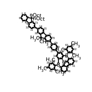 CCCCCCCCC1(CCCCCCCC)c2ccccc2-c2ccc(-c3ccc4c(c3)C(C)(C)c3cc(-c5ccc(-c6cc7c8c(c6)B(c6c(C)cc(C)cc6C)c6cccc9c%10cccc(c%10n-8c69)B7c6c(C)cc(C)cc6C)cc5)ccc3-4)cc21